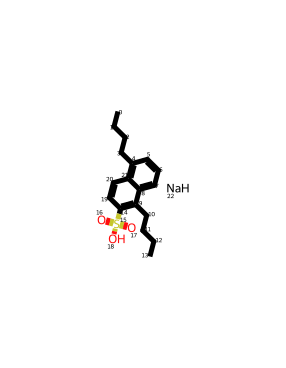 CCCCc1cccc2c(CCCC)c(S(=O)(=O)O)ccc12.[NaH]